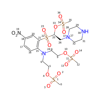 CS(=O)(=O)OCCN(CCOS(C)(=O)=O)c1ccc([N+](=O)[O-])cc1S(=O)(=O)[C@H](CN1CCNCC1)OS(C)(=O)=O